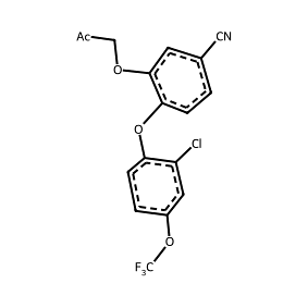 CC(=O)COc1cc(C#N)ccc1Oc1ccc(OC(F)(F)F)cc1Cl